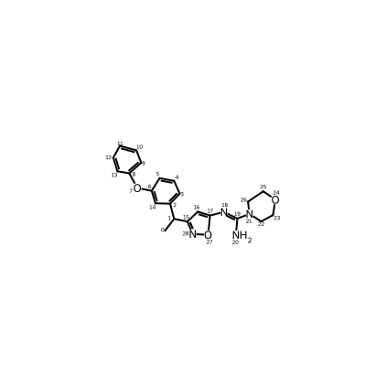 CC(c1cccc(Oc2ccccc2)c1)c1cc(/N=C(\N)N2CCOCC2)on1